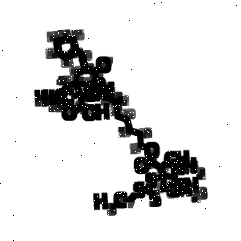 C=CC(SC(=S)SCC)(C(C)N)C(C)C(=O)OCCCCCCCCOC(=O)/C(=C/c1ccccc1)CC(CC)(CC)C(C)(C)C(=O)O